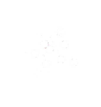 Cc1cc2c3c(c1)N(c1ccc(C(C)(C)C)cc1-c1ccc4c(c1)C(C)(C)CCC4(C)C)c1cc4c(cc1B3c1ccc(-c3ccccc3)cc1N2c1cccc(-c2ccccc2)c1)C(C)(C)CC4(C)C